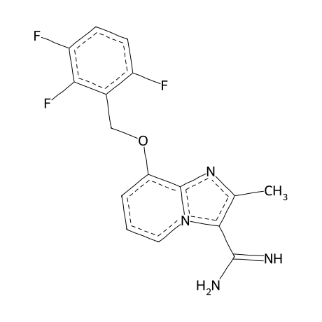 Cc1nc2c(OCc3c(F)ccc(F)c3F)cccn2c1C(=N)N